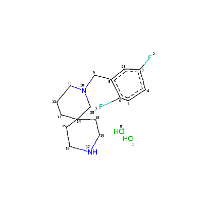 Cl.Cl.Fc1ccc(F)c(CN2CCCC3(CCNCC3)C2)c1